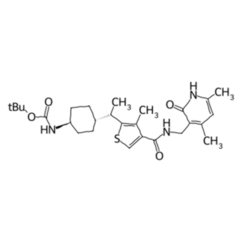 Cc1cc(C)c(CNC(=O)c2csc(C(C)[C@H]3CC[C@H](NC(=O)OC(C)(C)C)CC3)c2C)c(=O)[nH]1